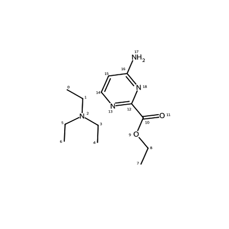 CCN(CC)CC.CCOC(=O)c1nccc(N)n1